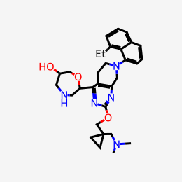 CCc1cccc2cccc(N3CCc4c(nc(OCC5(CN(C)C)CC5)nc4C4CNCC(O)CO4)C3)c12